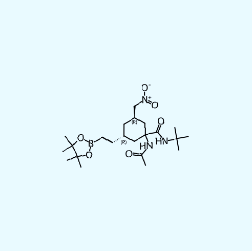 CC(=O)NC1(C(=O)NC(C)(C)C)C[C@H](CCB2OC(C)(C)C(C)(C)O2)C[C@@H](C[N+](=O)[O-])C1